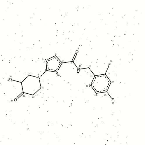 CCC1CN(c2ncc(C(=O)NCc3ncc(F)cc3F)s2)CCC1=O